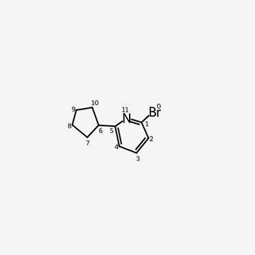 Brc1cccc(C2CCCC2)n1